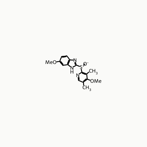 COc1ccc2nc([S+]([O-])c3ncc(C)c(OC)c3C)[nH]c2c1